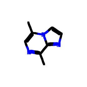 Cc1ncc(C)n2ccnc12